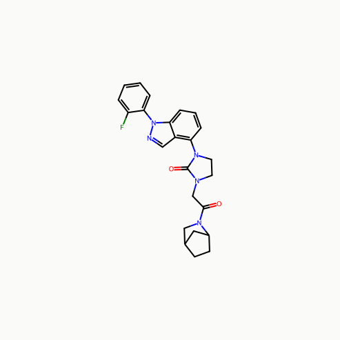 O=C1N(CC(=O)N2CC3CCC2C3)CCN1c1cccc2c1cnn2-c1ccccc1F